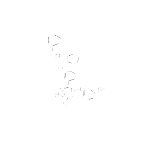 O=C(NC(Cc1ccc(Br)cc1)C(=O)O)c1cccc(OCCN(Cc2ccccc2)Cc2ccccc2)c1